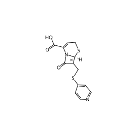 O=C(O)C1=CCS[C@H]2C(CSc3ccncc3)C(=O)N12